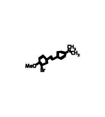 COc1ccc(/C=C/c2ccc(N(C)C)cc2)cc1Br